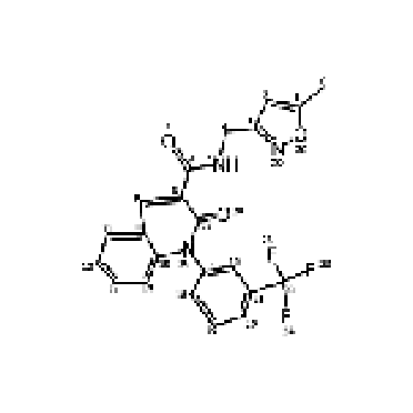 Cc1cc(CNC(=O)c2cc3ccccc3n(-c3cccc(C(F)(F)F)c3)c2=O)no1